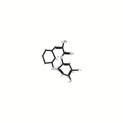 CC1CCCC(C=C(C(=O)Oc2ccc(F)c(F)c2)C(C)C)C1